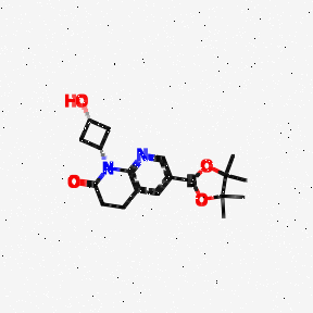 CC1(C)OB(c2cnc3c(c2)CCC(=O)N3[C@H]2C[C@@H](O)C2)OC1(C)C